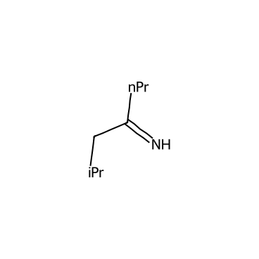 CCCC(=N)CC(C)C